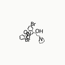 O=S(=O)(c1ccccc1Br)n1cc(C(O)CCN2CCCCC2)c2cc(Br)ccc21